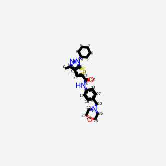 Cc1nn(C2CCCCC2)c2sc(C(=O)Nc3ccc(CN4CCOCC4)cc3)cc12